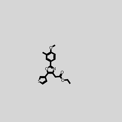 CCOC(=O)Cc1nc(-c2ccc(OC)c(C)c2)oc1-c1ccsc1